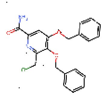 NC(=O)c1cc(OCc2ccccc2)c(OCc2ccccc2)c(CCl)n1